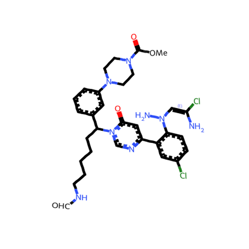 COC(=O)N1CCN(c2cccc(C(CCCCCNC=O)n3cnc(-c4cc(Cl)ccc4N(N)/C=C(\N)Cl)cc3=O)c2)CC1